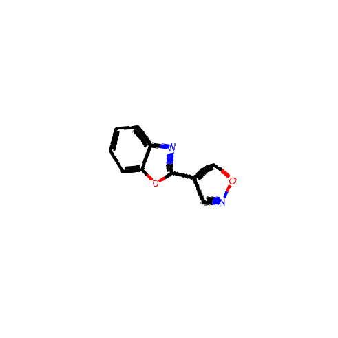 [c]1nocc1-c1nc2ccccc2o1